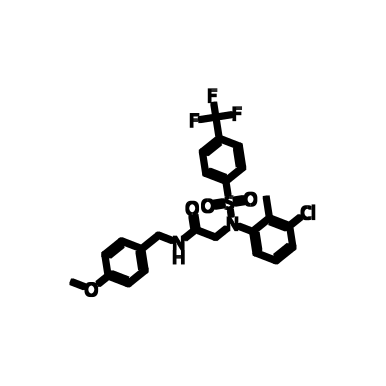 COc1ccc(CNC(=O)CN(c2cccc(Cl)c2C)S(=O)(=O)c2ccc(C(F)(F)F)cc2)cc1